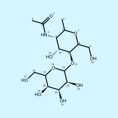 CC(=O)N[C@@H]1C(C)OC(CO)[C@@H](OC2OC(CO)[C@H](O)[C@H](O)[C@@H]2O)[C@@H]1O